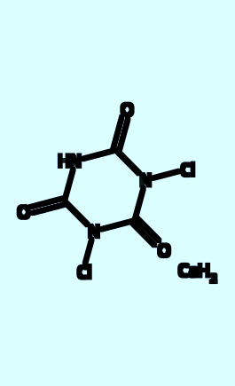 O=c1[nH]c(=O)n(Cl)c(=O)n1Cl.[CaH2]